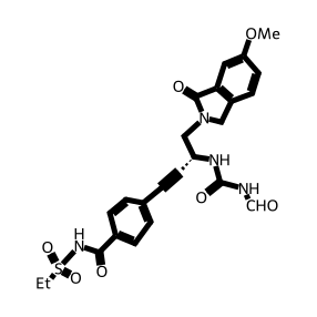 CCS(=O)(=O)NC(=O)c1ccc(C#C[C@H](CN2Cc3ccc(OC)cc3C2=O)NC(=O)NC=O)cc1